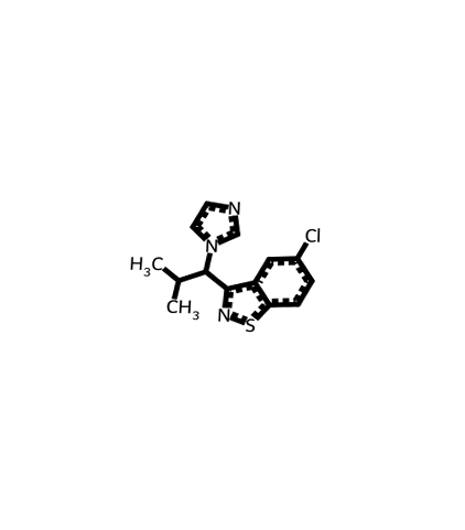 CC(C)C(c1nsc2ccc(Cl)cc12)n1ccnc1